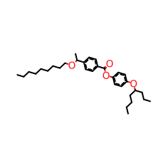 CCCCCCCCCOC(C)c1ccc(C(=O)Oc2ccc(OC(CCC)CCCC)cc2)cc1